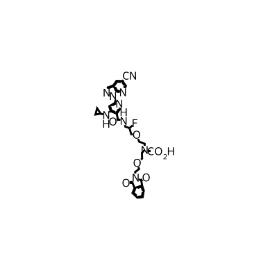 N#Cc1cnc2c(cnn2-c2cc(NC3CC3)c(C(=O)NCC(F)COCCN(CCOCCN3C(=O)c4ccccc4C3=O)C(=O)O)cn2)c1